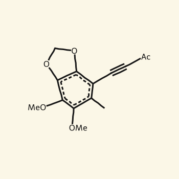 COc1c(C)c(C#CC(C)=O)c2c(c1OC)OCO2